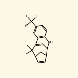 CC1(C)C2=CC(Nc3ccc(C(F)(F)F)cc32)C2C=CC1C2